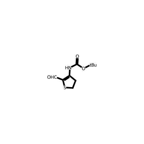 CC(C)(C)OC(=O)NC1=C(C=O)SCC1